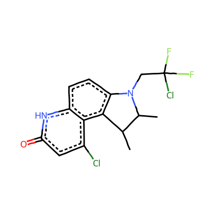 CC1c2c(ccc3[nH]c(=O)cc(Cl)c23)N(CC(F)(F)Cl)C1C